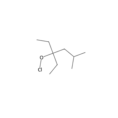 CCC(CC)(CC(C)C)OCl